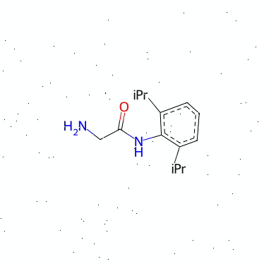 CC(C)c1cccc(C(C)C)c1NC(=O)CN